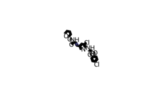 O=C(/C=C/c1cnc(NCCS(=O)(=O)c2ccc(Cl)cc2)c(Cl)c1)NOC1CCCCO1